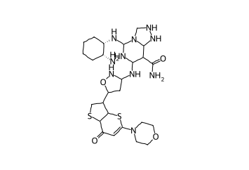 NC(=O)C1C(NC2CC(C3CSC4C(=O)C=C(N5CCOCC5)SC43)ON2)NC(N[C@H]2CCCC[C@H]2N)N2CNNC12